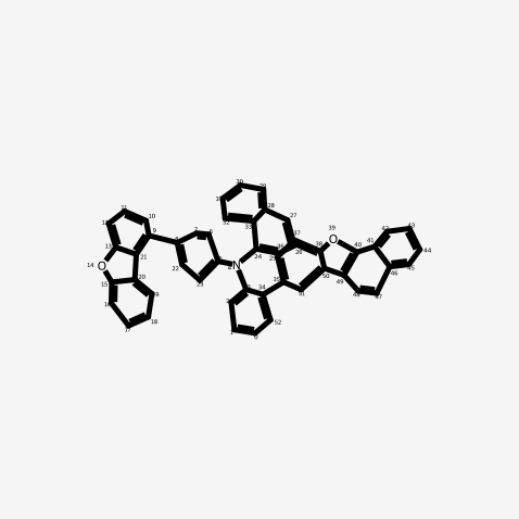 c1ccc(N(c2ccc(-c3cccc4oc5ccccc5c34)cc2)c2cccc3ccccc23)c(-c2ccc3oc4c5ccccc5ccc4c3c2)c1